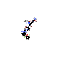 COC(=O)NC(CC/C=C/C(=O)N(C)C)C(=O)Nc1cccn(Cc2nc3c(Oc4ccc(F)cc4F)c(F)cc(F)c3[nH]2)c1=O